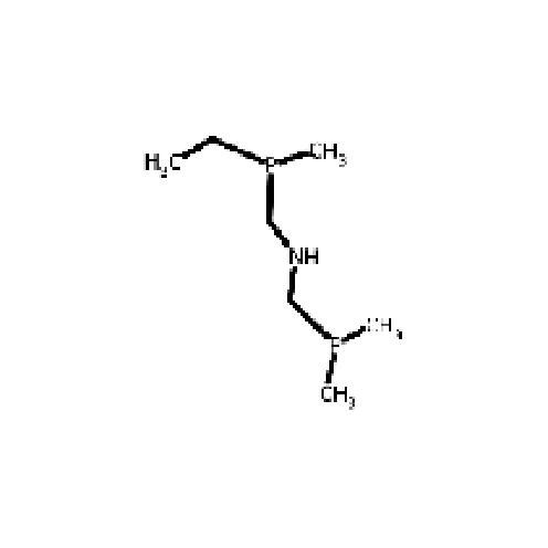 CCP(C)CNCP(C)C